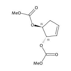 COC(=O)O[C@H]1C=CC[C@@H]1OC(=O)OC